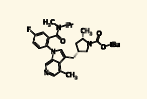 Cc1cncc2c1c(C[C@@H]1C[C@H](C)N(C(=O)OC(C)(C)C)C1)cn2-c1ccc(F)cc1C(=O)N(C)C(C)C